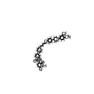 N#Cc1ccc(N2CCC(c3ccc(OCCCCN4CCN(c5ccn6c(=O)n(C7CCC(=O)NC7=O)nc6c5)CC4)cc3)CC2)cc1C(F)(F)F